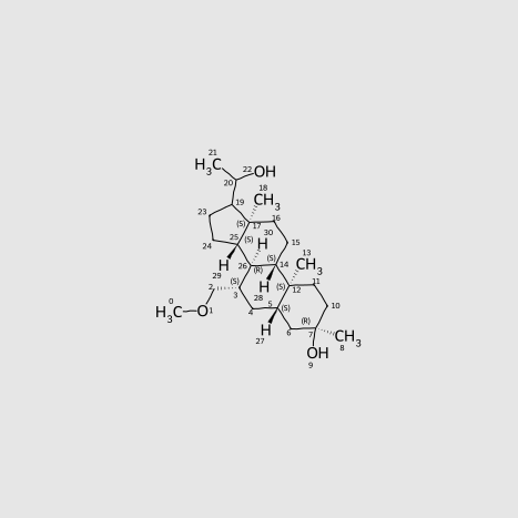 COC[C@H]1C[C@H]2C[C@](C)(O)CC[C@]2(C)[C@H]2CC[C@]3(C)C(C(C)O)CC[C@H]3[C@H]12